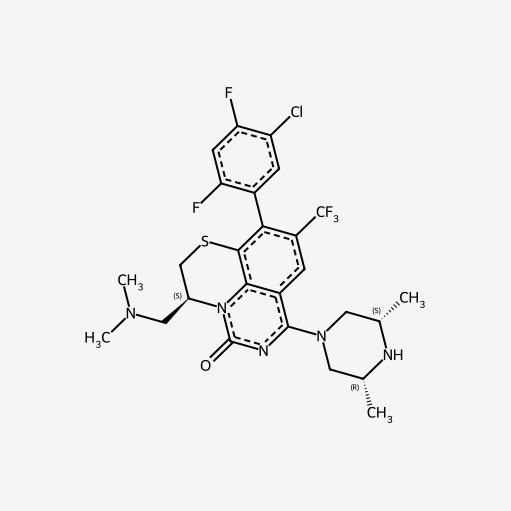 C[C@@H]1CN(c2nc(=O)n3c4c(c(-c5cc(Cl)c(F)cc5F)c(C(F)(F)F)cc24)SC[C@@H]3CN(C)C)C[C@H](C)N1